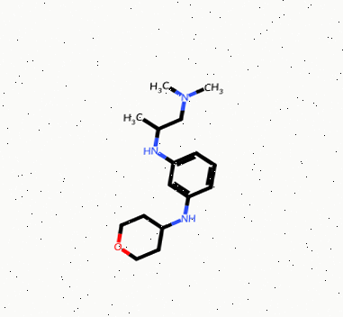 CC(CN(C)C)Nc1cc[c]c(NC2CCOCC2)c1